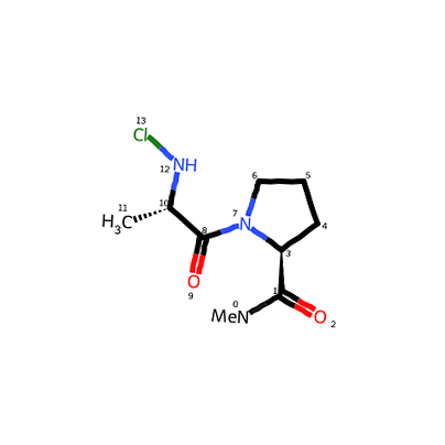 CNC(=O)[C@@H]1CCCN1C(=O)[C@H](C)NCl